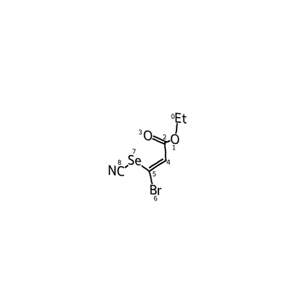 CCOC(=O)/C=C(/Br)[Se]C#N